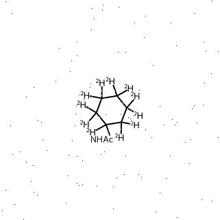 [2H]C1([2H])C([2H])([2H])C([2H])([2H])C([2H])(NC(C)=O)C([2H])([2H])C1([2H])[2H]